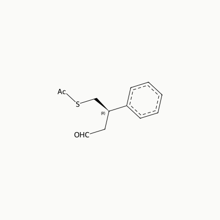 CC(=O)SC[C@H](CC=O)c1ccccc1